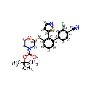 CC(C)(C)OC(=O)N1CCO[C@H](Cc2cccc(-c3ccc(C#N)c(F)c3)c2-c2ccns2)C1